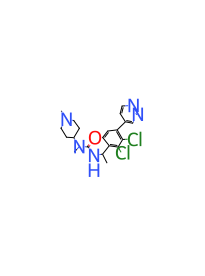 CC(NC(=O)N(C)C1CCN(C)CC1)c1ccc(-c2ccnnc2)c(Cl)c1Cl